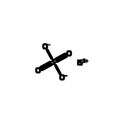 O=S(=O)([O-])[O-].[S+2]